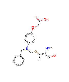 C=N/C(C=O)=C(/C)SCN(Cc1ccccc1)c1ccc(OCC(=O)O)cc1